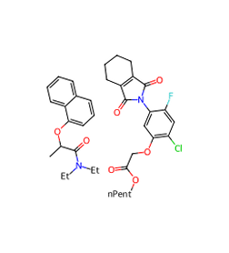 CCCCCOC(=O)COc1cc(N2C(=O)C3=C(CCCC3)C2=O)c(F)cc1Cl.CCN(CC)C(=O)C(C)Oc1cccc2ccccc12